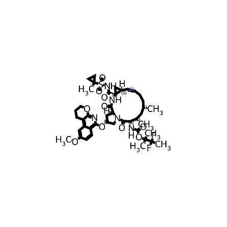 COc1ccc2c(O[C@@H]3C[C@H]4C(=O)N[C@]5(C(=O)NS(=O)(=O)C6(C)CC6)C[C@H]5/C=C\CC[C@H](C)C[C@@H](C)[C@H](NC(=O)OC(C)(C)C(C)(F)F)C(=O)N4C3)nc3c(c2c1)CCCO3